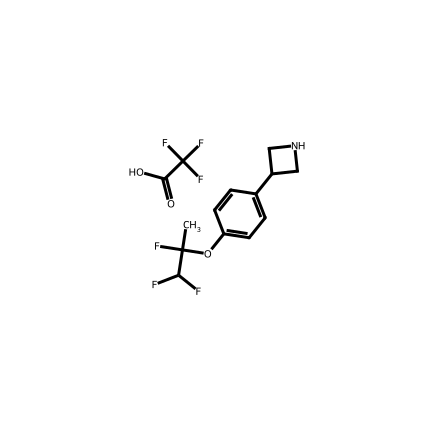 CC(F)(Oc1ccc(C2CNC2)cc1)C(F)F.O=C(O)C(F)(F)F